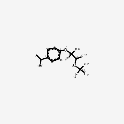 CC(Br)c1ccc(OC(F)(F)C(F)OC(F)(F)F)cc1